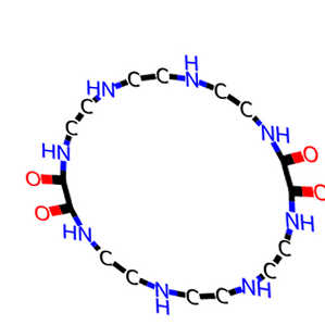 O=C1NCCNCCNCCNC(=O)C(=O)NCCNCCNCCNC1=O